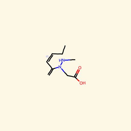 C=C(/C=C\CC)N(CC(=O)O)NC